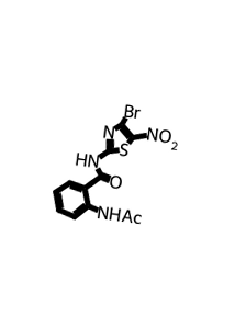 CC(=O)Nc1ccccc1C(=O)Nc1nc(Br)c([N+](=O)[O-])s1